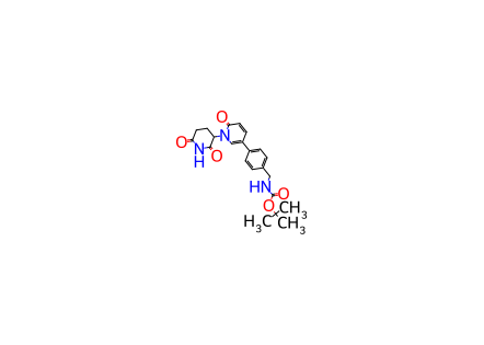 CC(C)(C)OC(=O)NCc1ccc(-c2ccc(=O)n(C3CCC(=O)NC3=O)c2)cc1